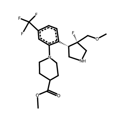 COC[C@@]1(F)CNC[C@@H]1c1ccc(C(F)(F)F)cc1N1CCC(C(=O)OC)CC1